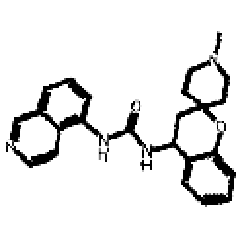 CN1CCC2(CC1)CC(NC(=O)Nc1cccc3cnccc13)c1ccccc1O2